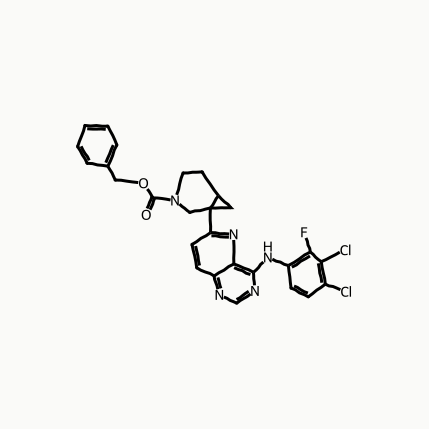 O=C(OCc1ccccc1)N1CCC2CC2(c2ccc3ncnc(Nc4ccc(Cl)c(Cl)c4F)c3n2)C1